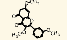 COC1=Cc2oc(-c3cccc(OC)c3)c(OC)c(=O)c2C(=O)C1